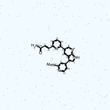 CNc1cc(-c2c[nH]c3ncc(-c4cccc(/C=C/C(N)=O)n4)cc23)ccn1